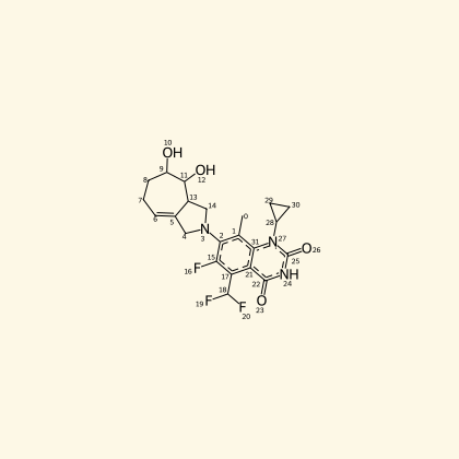 Cc1c(N2CC3=CCCC(O)C(O)C3C2)c(F)c(C(F)F)c2c(=O)[nH]c(=O)n(C3CC3)c12